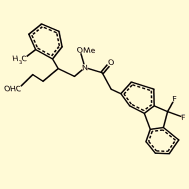 CON(CC(CCC=O)c1ccccc1C)C(=O)Cc1ccc2c(c1)-c1ccccc1C2(F)F